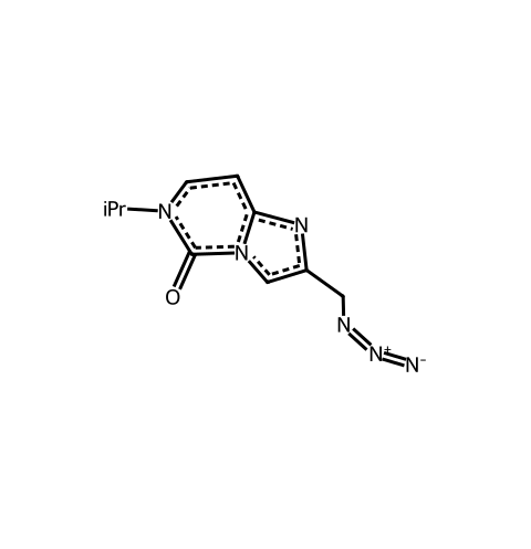 CC(C)n1ccc2nc(CN=[N+]=[N-])cn2c1=O